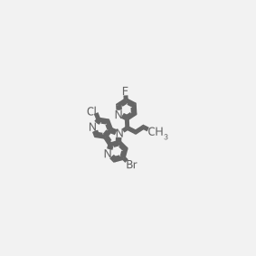 CCCC(c1ccc(F)cn1)n1c2cc(Cl)ncc2c2ncc(Br)cc21